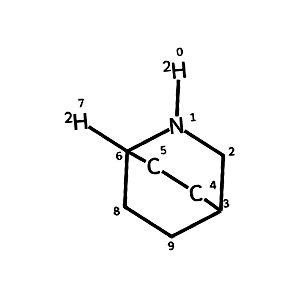 [2H]N1CC2CCC1([2H])CC2